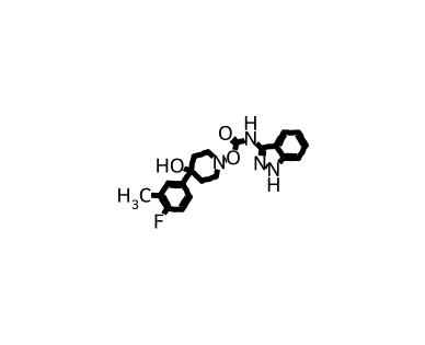 Cc1cc(C2(O)CCN(OC(=O)Nc3n[nH]c4ccccc34)CC2)ccc1F